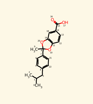 CC(C)Cc1ccc(C2(C)Oc3ccc(C(=O)O)cc3O2)cc1